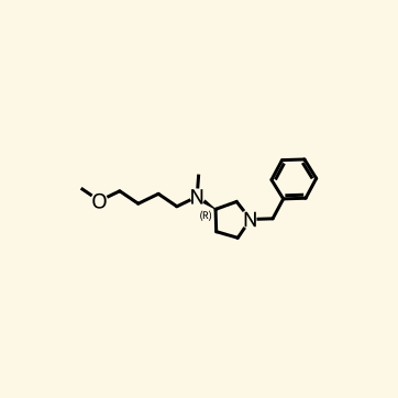 COCCCCN(C)[C@@H]1CCN(Cc2ccccc2)C1